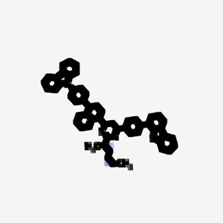 C/C=C\C=C(/C)C1=NC(c2ccc(-c3ccc(-n4c5ccccc5c5ccccc54)cc3)c3ccccc23)CC(c2ccc(-c3cccc4c3sc3ccccc34)cc2)=N1